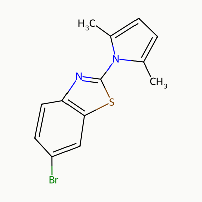 Cc1ccc(C)n1-c1nc2ccc(Br)cc2s1